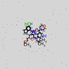 COCCCCc1c(C(=O)N(CC(C)C)[C@@H]2CNC[C@H](C(=O)N3CCOCC3)C2)nnn1-c1cccc2c1CCC2.Cl